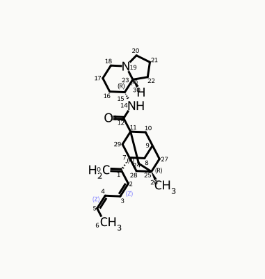 C=C(/C=C\C=C/C)[C@]12CC3CC(C(=O)N[C@@H]4CCCN5CCC[C@H]45)(C[C@](C)(C3)C1)C2